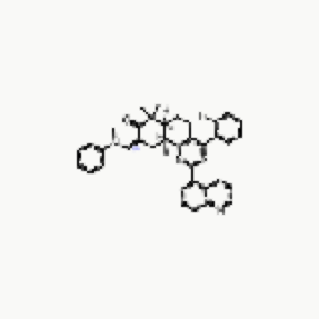 CN(/C=C1/C[C@@]2(C)c3nc(-c4cccc5ncccc45)nc(-c4ccccc4F)c3CC[C@@H]2C(C)(C)C1=O)c1ccccc1